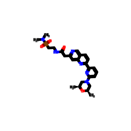 C[C@@H]1CN(c2cccc(-c3ccc4cnc(CC(=O)NCCS(=O)(=O)N(C)C)cc4n3)n2)C[C@H](C)O1